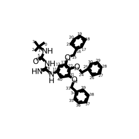 CC(C)(C)NC(=O)NC(=N)Nc1cc(OCc2ccccc2)c(OCc2ccccc2)c(OCc2ccccc2)c1